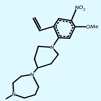 C=Cc1cc([N+](=O)[O-])c(OC)cc1N1CCC(N2CCCN(C)CC2)CC1